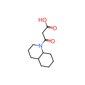 O=C(O)CC(=O)N1CCCC2CCCCC21